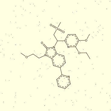 CCOc1nc(C(CS(C)(=O)=O)n2c(=O)n(CCOC)c3cc(-c4ccccn4)ccc32)ccc1OC